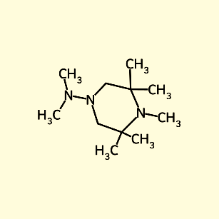 CN(C)N1CC(C)(C)N(C)C(C)(C)C1